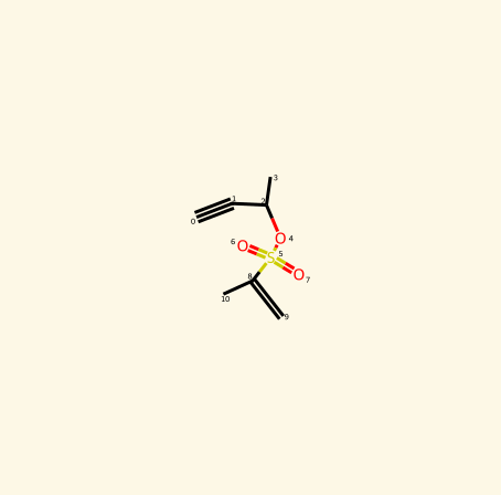 C#CC(C)OS(=O)(=O)C(=C)C